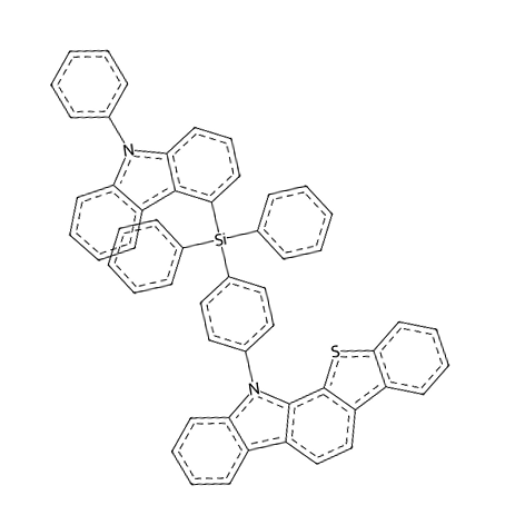 c1ccc(-n2c3ccccc3c3c([Si](c4ccccc4)(c4ccccc4)c4ccc(-n5c6ccccc6c6ccc7c8ccccc8sc7c65)cc4)cccc32)cc1